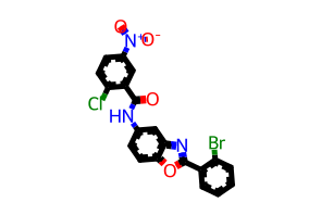 O=C(Nc1ccc2oc(-c3ccccc3Br)nc2c1)c1cc([N+](=O)[O-])ccc1Cl